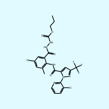 CCCOC(=O)NNC(=O)c1cc(Cl)cc(C)c1NC(=O)c1cc(C(F)(F)F)nn1-c1ncccc1Cl